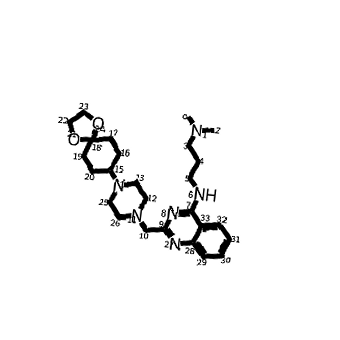 CN(C)CCCNc1nc(CN2CCN(C3CCC4(CC3)OCCO4)CC2)nc2ccccc12